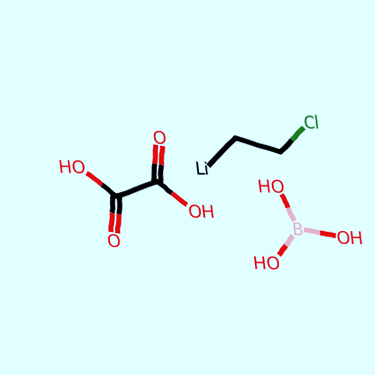 O=C(O)C(=O)O.OB(O)O.[Li][CH2]CCl